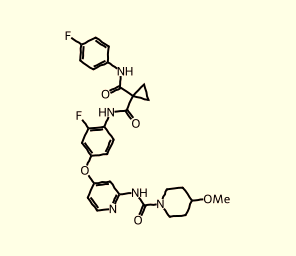 COC1CCN(C(=O)Nc2cc(Oc3ccc(NC(=O)C4(C(=O)Nc5ccc(F)cc5)CC4)c(F)c3)ccn2)CC1